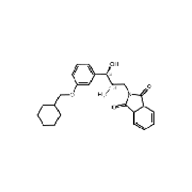 C[C@@H](CN1C(=O)C2C=CC=CC2C1=O)[C@H](O)c1cccc(OCC2CCCCC2)c1